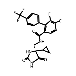 O=C1NC(=O)[C@](CNC(=O)c2ccc(Cl)c(F)c2-c2ccc(C(F)(F)F)cc2)(C2CC2)N1